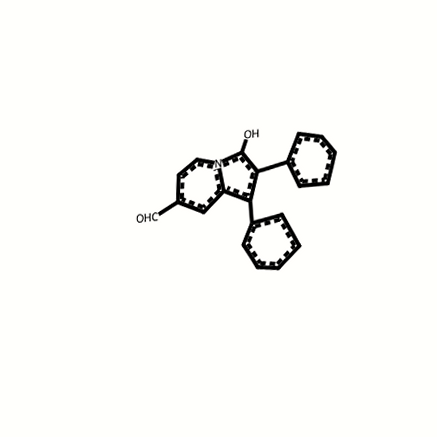 O=Cc1ccn2c(O)c(-c3ccccc3)c(-c3ccccc3)c2c1